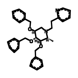 C[C@@H]1[C@@H](OCc2ccccc2)[C@H](OCc2ccccc2)[C@@H](OCc2ccccc2)CN1CCc1ccccn1